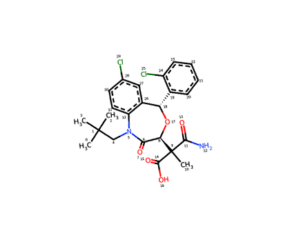 CC(C)(C)CN1C(=O)[C@H](C(C)(C(N)=O)C(=O)O)O[C@@H](c2ccccc2Cl)c2cc(Cl)ccc21